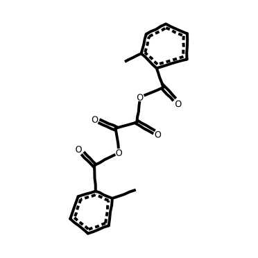 Cc1ccccc1C(=O)OC(=O)C(=O)OC(=O)c1ccccc1C